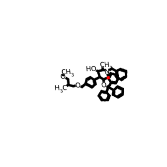 COCC(C)COCc1ccc(C2C(OC(c3ccccc3)(c3ccccc3)c3ccccc3)CN(Cc3ccccc3)C(C)C2O)cc1